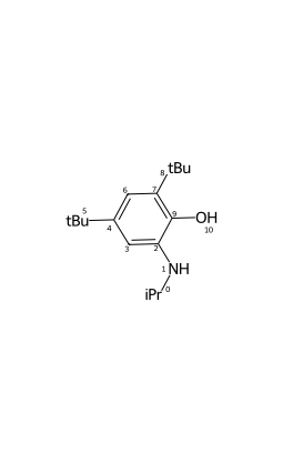 CC(C)Nc1cc(C(C)(C)C)cc(C(C)(C)C)c1O